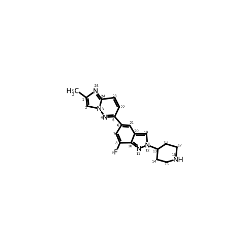 Cc1cn2nc(-c3cc(F)c4nn(C5CCNCC5)cc4c3)ccc2n1